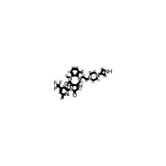 Cc1cc(C(F)(F)F)cc(N2C(=O)C[C@@H]3CN(CCN4CCN(C5CNC5)CC4)c4c(F)cccc4N(C)C(=O)[C@H]32)n1